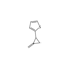 C=C1[CH]C1c1cccs1